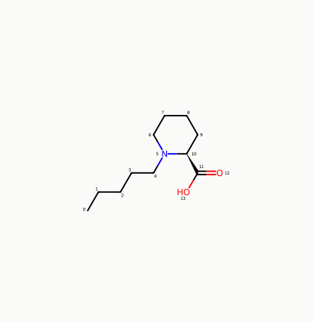 CCCCCN1CCCC[C@H]1C(=O)O